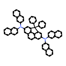 c1ccc(C2(c3ccccc3)c3cc(N(c4ccc5ccccc5c4)c4ccc5ccccc5c4)cc4ccc5cc(N(c6ccc7ccccc7c6)c6ccc7ccccc7c6)cc2c5c34)cc1